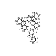 c1cc(-c2ccc3oc4ccccc4c3c2)cc(-n2c3ccccc3c3ccc(-n4c5ccccc5c5ccccc54)cc32)c1